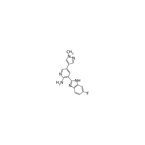 Cn1cc(-c2cnc(N)c(-c3nc4ccc(F)cc4[nH]3)c2)cn1